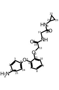 Nc1ccc(Oc2ccccc2OCC(=O)NCC(=O)NC2CC2)cc1